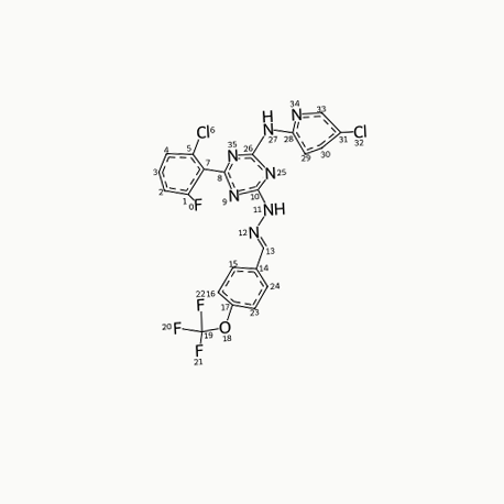 Fc1cccc(Cl)c1-c1nc(N/N=C/c2ccc(OC(F)(F)F)cc2)nc(Nc2ccc(Cl)cn2)n1